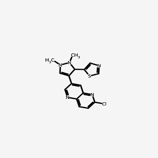 CN1C=C(c2cnc3ccc(Cl)nc3c2)C(c2cncs2)N1C